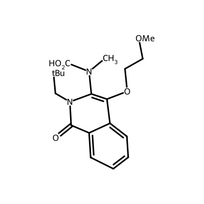 COCCOc1c(N(C)C(=O)O)n(CC(C)(C)C)c(=O)c2ccccc12